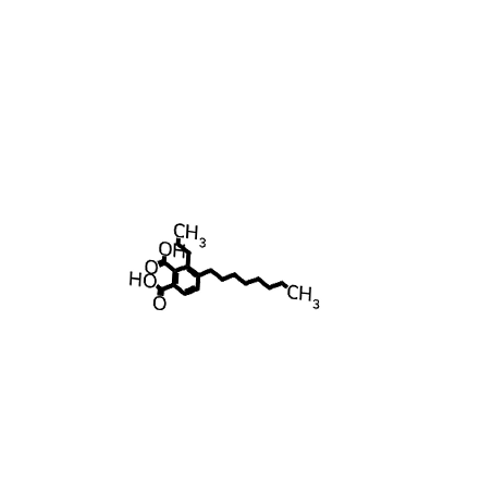 CCCCCCCCc1ccc(C(=O)O)c(C(=O)O)c1CCC